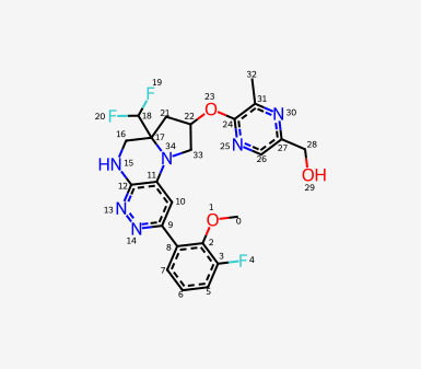 COc1c(F)cccc1-c1cc2c(nn1)NCC1(C(F)F)CC(Oc3ncc(CO)nc3C)CN21